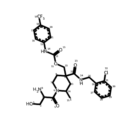 NC(CO)C(=O)N1CCC(COC(=O)Nc2ccc(C(F)(F)F)cc2)(C(=O)NCc2ccccc2Cl)CC1I